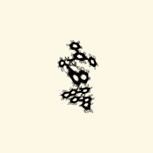 c1ccc(-c2cc(-c3ccccc3)cc(-c3nc(-c4ccc(-n5c6cc7ccccc7cc6c6c(-n7c8ccccc8c8c9ccccc9ccc87)cccc65)c5ccccc45)c4ccccc4n3)c2)cc1